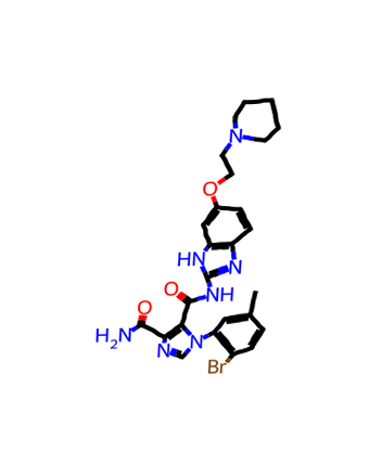 Cc1ccc(Br)c(-n2cnc(C(N)=O)c2C(=O)Nc2nc3ccc(OCCN4CCCCC4)cc3[nH]2)c1